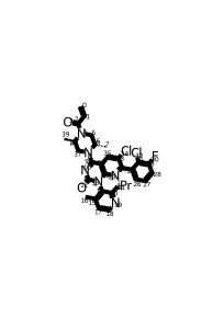 C=CC(=O)N1C[C@H](C)N(c2nc(=O)n(-c3c(C)ccnc3C(C)C)c3nc(-c4cccc(F)c4Cl)c(Cl)cc23)C[C@H]1C